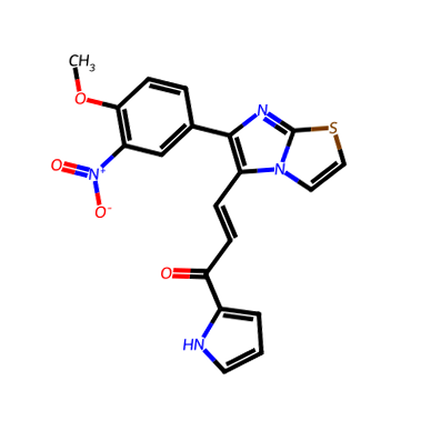 COc1ccc(-c2nc3sccn3c2C=CC(=O)c2ccc[nH]2)cc1[N+](=O)[O-]